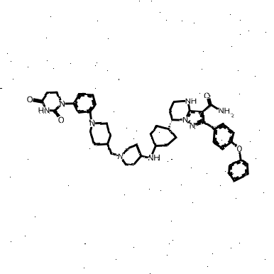 NC(=O)c1c(-c2ccc(Oc3ccccc3)cc2)nn2c1NCC[C@H]2C1CCC(NC2CCN(CC3CCN(c4cccc(N5CCC(=O)NC5=O)c4)CC3)CC2)CC1